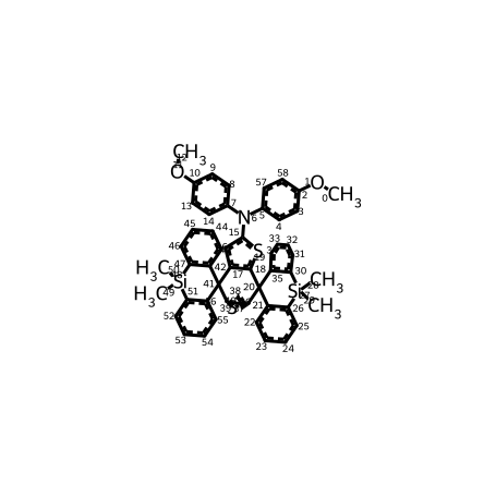 COc1ccc(N(c2ccc(OC)cc2)c2cc3c(s2)C2(c4ccccc4[Si](C)(C)c4ccccc42)c2ccsc2C32c3ccccc3[Si](C)(C)c3ccccc32)cc1